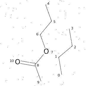 CCCC.CCCOC(C)=O